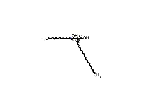 CCCCCCCCCCCCC/C=C/C(O)C(COC(=O)CO)NC(=O)CCCCCCCCCCCCCCCCCCCCC